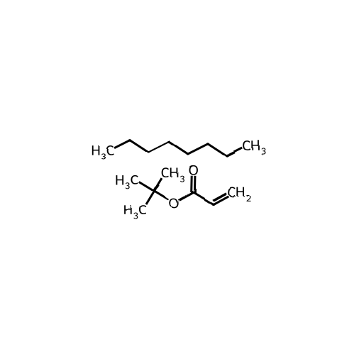 C=CC(=O)OC(C)(C)C.CCCCCCCC